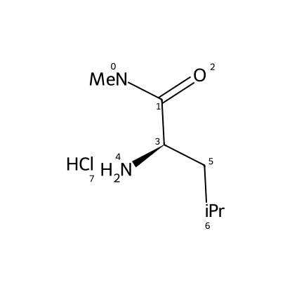 CNC(=O)[C@H](N)CC(C)C.Cl